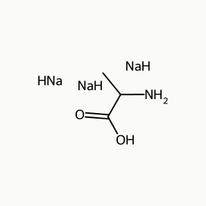 CC(N)C(=O)O.[NaH].[NaH].[NaH]